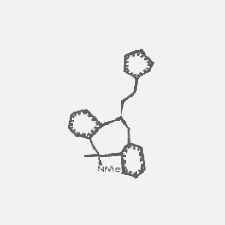 CN[C@]1(C)c2ccccc2C[C@H](CCc2ccccc2)c2ccccc21